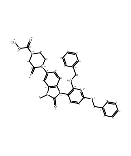 Cn1c(=O)n(-c2ccc(OCc3ccccc3)nc2OCc2ccccc2)c2ccc(N3CCN(C(=O)OC(C)(C)C)CC3=O)cc21